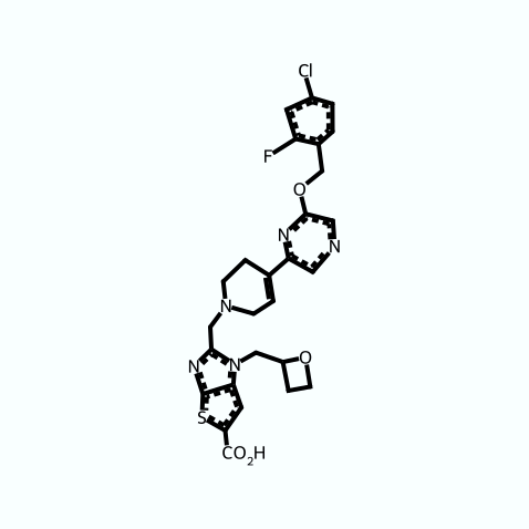 O=C(O)c1cc2c(nc(CN3CC=C(c4cncc(OCc5ccc(Cl)cc5F)n4)CC3)n2CC2CCO2)s1